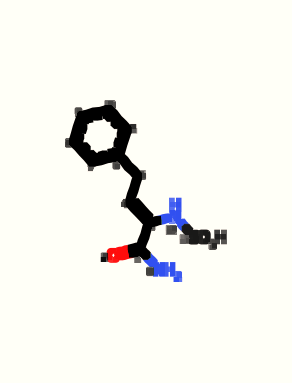 NC(=O)C(=CCc1ccccc1)NS(=O)(=O)O